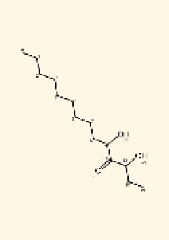 CCCCCCCCCC(O)C(=O)C(O)CC